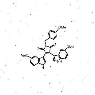 COc1ccc(CN2C(=O)C(c3c[nH]c4ccc(OC)cc34)=C(c3c[nH]c4ccc(OC)cc34)C2=O)cc1